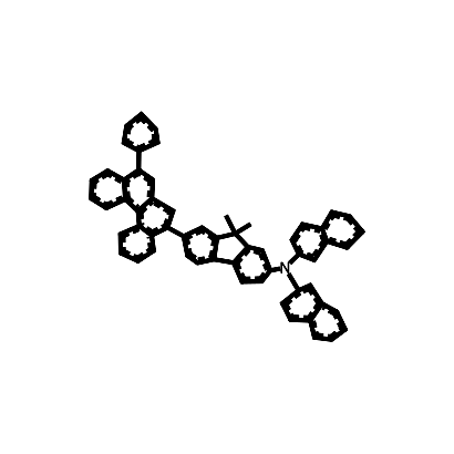 CC1(C)c2cc(-c3cc4cc(-c5ccccc5)c5ccccc5c4c4ccccc34)ccc2-c2ccc(N(c3ccc4ccccc4c3)c3ccc4ccccc4c3)cc21